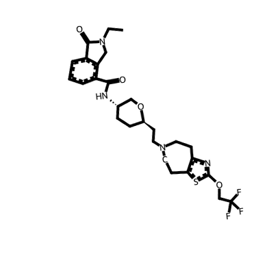 CCN1Cc2c(C(=O)N[C@H]3CC[C@H](CCN4CCc5nc(OCC(F)(F)F)sc5CC4)OC3)cccc2C1=O